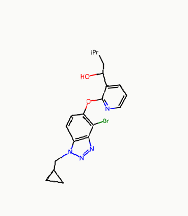 CC(C)CC(O)c1cccnc1Oc1ccc2c(nnn2CC2CC2)c1Br